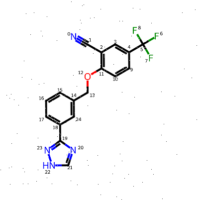 N#Cc1cc(C(F)(F)F)ccc1OCc1cccc(-c2nc[nH]n2)c1